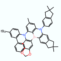 Cc1cc2c3c(c1)N(c1ccc(C(C)(C)C)cc1-c1ccccc1)c1cc4c(cc1B3c1cc3c(cc1N2c1ccc2c(c1)CC(C)(C)C2)CC(C)(C)C3)OCO4